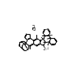 CC(C)=C1C=C2[CH]([Zr+2])C3(C)C4(C)C=CC=CC4(C)C4(C)C=CC=CC4(C)C3(C)C2(C)C(C)=C1C1=C(C23CC4CC(CC(C4)C2)C3)C=CC1.[Cl-].[Cl-]